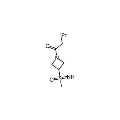 CC(C)CC(=O)N1CC(S(C)(=N)=O)C1